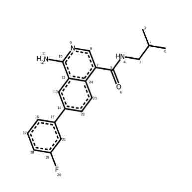 CC(C)CNC(=O)c1cnc(N)c2cc(-c3cccc(F)c3)ccc12